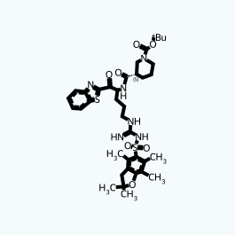 Cc1c(C)c(S(=O)(=O)NC(=N)NCCCC(NC(=O)[C@H]2CCCN(C(=O)OC(C)(C)C)C2)C(=O)c2nc3ccccc3s2)c(C)c2c1OC(C)(C)C2